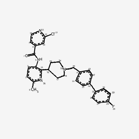 Cc1ccc(NC(=O)c2ccnc(Cl)c2)c(C2CCN(Cc3ccc(-c4ccc(F)cc4)cc3)CC2)n1